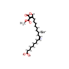 COC(=O)C1=C(CCCCCCCC/C=C\CCCCCCCC(=O)[O-])COC1=O.[Na+]